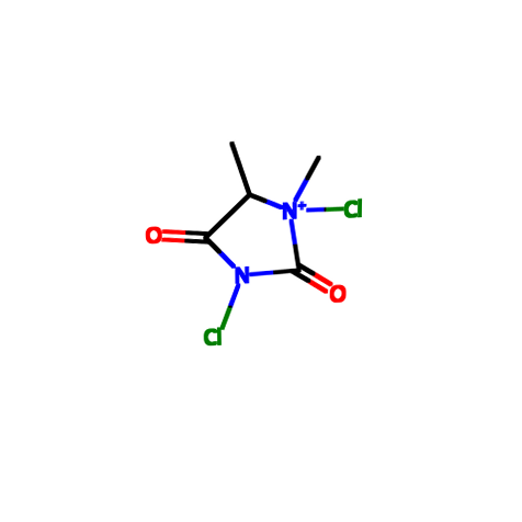 CC1C(=O)N(Cl)C(=O)[N+]1(C)Cl